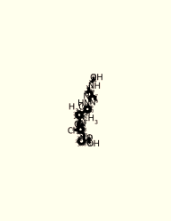 Cc1c(Nc2nccc3cc(CNCCO)cnc23)cccc1-c1cccc(-c2nc3cc(CN4CCCC[C@H]4C(=O)O)cc(Cl)c3o2)c1C